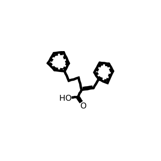 O=C(O)/C(=C/c1ccccc1)CCc1ccccc1